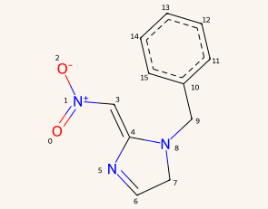 O=[N+]([O-])C=C1N=CCN1Cc1ccccc1